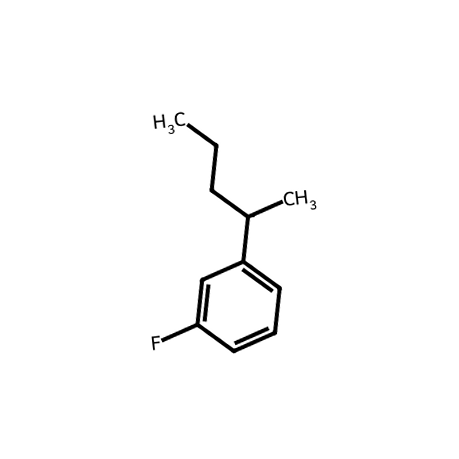 CCC[C](C)c1cccc(F)c1